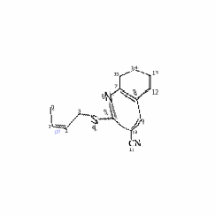 C/C=C\CSc1nc2c(cc1C#N)CCCC2